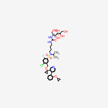 CC(C)N(CCCCNC(=O)N[C@@H](CO)[C@@H](O)[C@H](O)[C@H](O)CO)S(=O)(=O)c1cc(COC2(c3cnccc3-c3ccccc3OC3CC3)CC2)c(Cl)cc1F